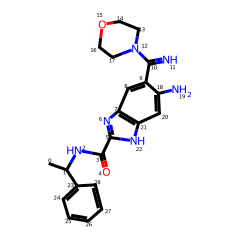 CC(NC(=O)c1nc2cc(C(=N)N3CCOCC3)c(N)cc2[nH]1)c1ccccc1